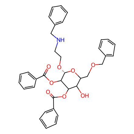 O=C(OC1C(O)C(COCc2ccccc2)O[C@@H](OCCNCc2ccccc2)C1OC(=O)c1ccccc1)c1ccccc1